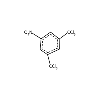 O=[N+]([O-])c1cc(C(Cl)(Cl)Cl)cc(C(Cl)(Cl)Cl)c1